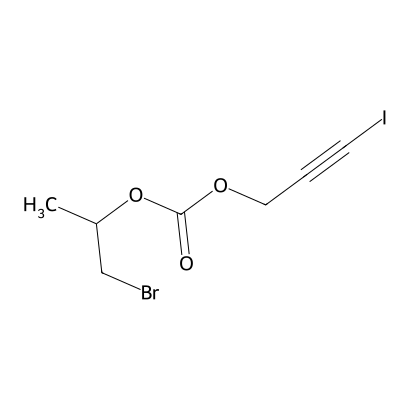 CC(CBr)OC(=O)OCC#CI